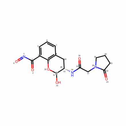 O=NC(=O)c1cccc2c1OB(O)[C@@H](NC(=O)CN1CCCC1=O)C2